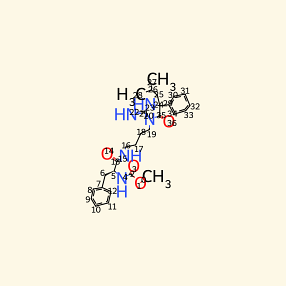 COC(=O)N[C@@H](Cc1ccccc1)C(=O)NCCCCN1C(=N)NC(CC(C)C)(c2ccccc2)C1=O